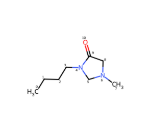 CCCCN1CN(C)CC1=O